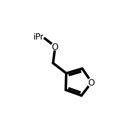 CC(C)OCc1ccoc1